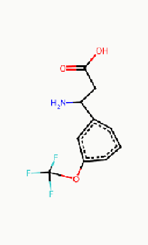 NC(CC(=O)O)c1cccc(OC(F)(F)F)c1